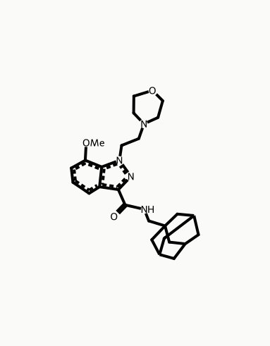 COc1cccc2c(C(=O)NCC34CC5CC(CC(C5)C3)C4)nn(CCN3CCOCC3)c12